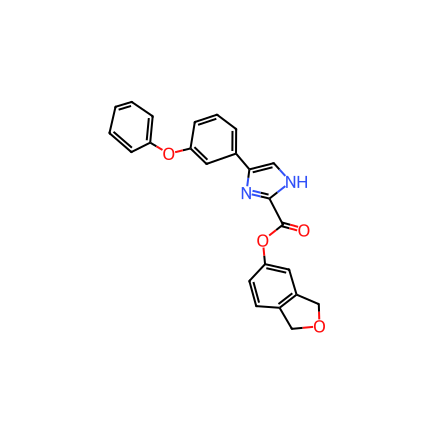 O=C(Oc1ccc2c(c1)COC2)c1nc(-c2cccc(Oc3ccccc3)c2)c[nH]1